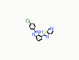 Clc1ccc(-c2nc3cccc(-c4nc5ccncc5s4)c3[nH]2)cc1